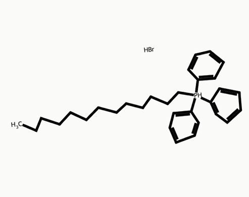 Br.CCCCCCCCCCCCC[PH](c1ccccc1)(c1ccccc1)c1ccccc1